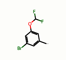 [CH2]c1cc(Br)cc(OC(F)F)c1